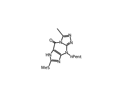 CCCCCn1c2nc(SC)[nH]c2c(=O)n2c(C)nnc12